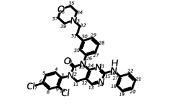 O=C1N(c2ccc(Cl)cc2Cl)Cc2cnc(Nc3ccccc3)nc2N1c1cccc(CCN2CCOCC2)c1